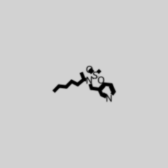 CCCCCC(C)N(Cc1cccnc1)S(C)(=O)=O